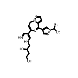 CCC(CC)n1cc(C2=NC(/C(C=N)=C/NCC(O)CCO)=CCn3nccc32)cn1